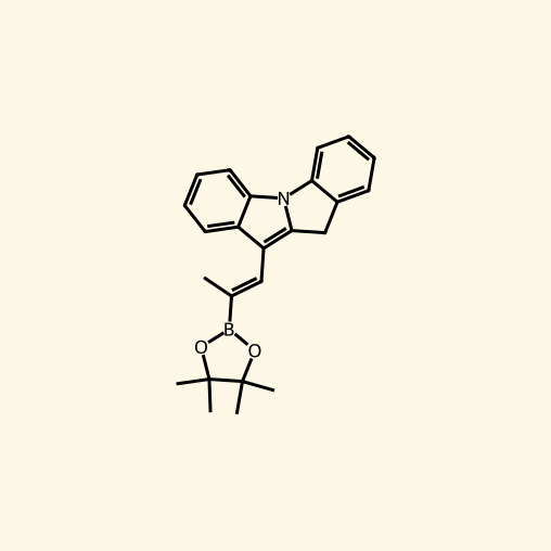 C/C(=C\c1c2n(c3ccccc13)-c1ccccc1C2)B1OC(C)(C)C(C)(C)O1